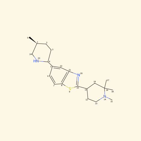 C[C@H]1CCC(c2ccc3sc(C4CCN(C)C(C)(C)C4)nc3c2)NC1